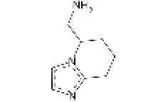 NCC1CCCc2nccn21